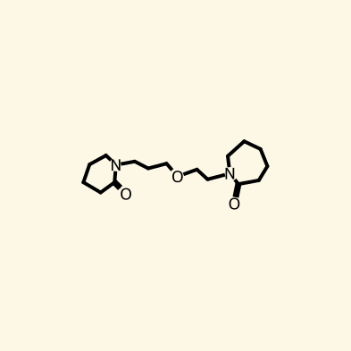 O=C1CCCCN1CCCOCCN1CCCCCC1=O